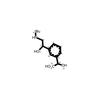 CC(C)(C)NCC(O)c1cccc(C(O)C(=O)O)c1